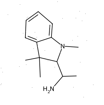 CC(N)C1N(C)c2ccccc2C1(C)C